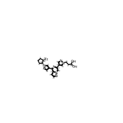 CC[C@@H]1CCC[C@@H]1n1cc(-c2nc(-c3cnn(CCC(O)O)c3)cn3nccc23)cn1